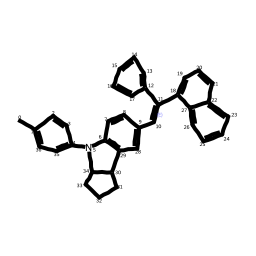 Cc1ccc(N2c3ccc(/C=C(\c4ccccc4)c4cccc5ccccc45)cc3C3CCCC32)cc1